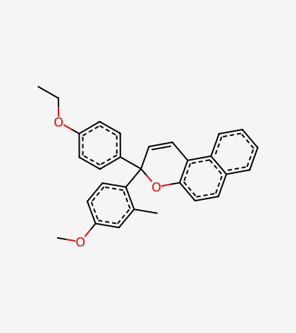 CCOc1ccc(C2(c3ccc(OC)cc3C)C=Cc3c(ccc4ccccc34)O2)cc1